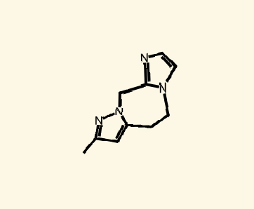 Cc1cc2n(n1)Cc1nccn1CC2